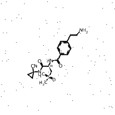 CS(=O)(=O)C[C@H](NC(=O)c1ccc(CCN)cc1)C(=O)NC1(C#N)CC1